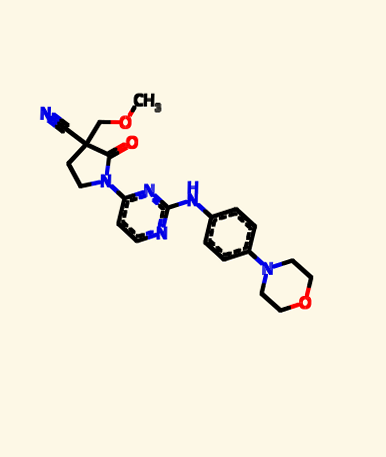 COCC1(C#N)CCN(c2ccnc(Nc3ccc(N4CCOCC4)cc3)n2)C1=O